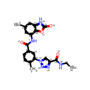 Cc1ccc(C(=O)Nc2cc(C(C)(C)C)cc3[nH]c(=O)oc23)cc1-n1cc(C(=O)NCC(C)(C)C)nn1